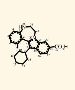 Cc1cccc2c1-c1c(C3CCCCC3)c3ccc(C(=O)O)cc3n1CCN2